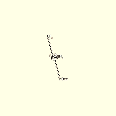 CCCCCCCCCCCCCCCCCCCCOS(=O)(=O)C(F)(F)CCCCCCCCCCC(F)(F)F.N